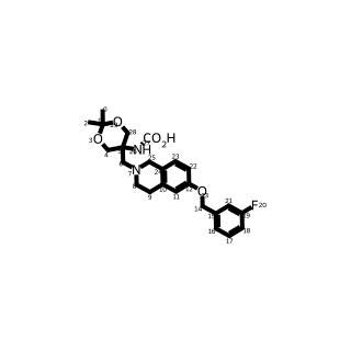 CC1(C)OCC(CN2CCc3cc(OCc4cccc(F)c4)ccc3C2)(NC(=O)O)CO1